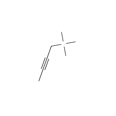 [CH2]C#CC[Si](C)(C)C